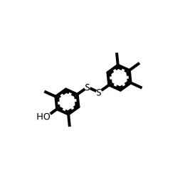 Cc1cc(SSc2cc(C)c(O)c(C)c2)cc(C)c1C